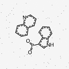 O=P(=O)c1c[nH]c2ccccc12.c1ccc2ncccc2c1